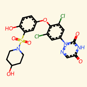 O=c1cnn(-c2cc(Cl)c(Oc3ccc(O)c(S(=O)(=O)N4CCC(O)CC4)c3)c(Cl)c2)c(=O)[nH]1